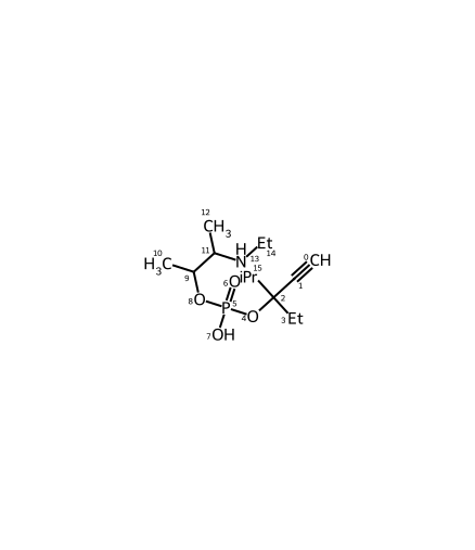 C#CC(CC)(OP(=O)(O)OC(C)C(C)NCC)C(C)C